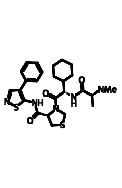 CN[C@@H](C)C(=O)N[C@H](C(=O)N1CSC[C@H]1C(=O)Nc1sncc1-c1ccccc1)C1CCCCC1